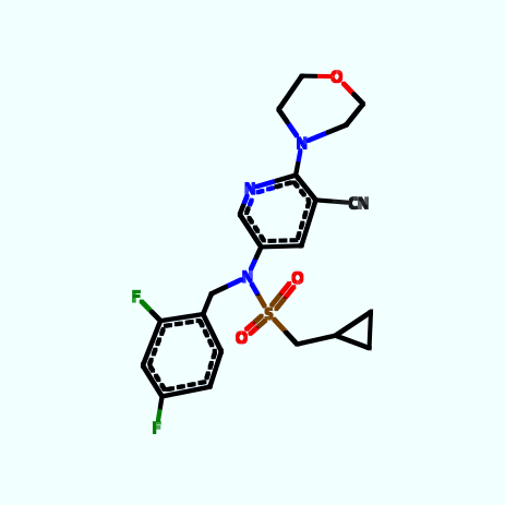 N#Cc1cc(N(Cc2ccc(F)cc2F)S(=O)(=O)CC2CC2)cnc1N1CCOCC1